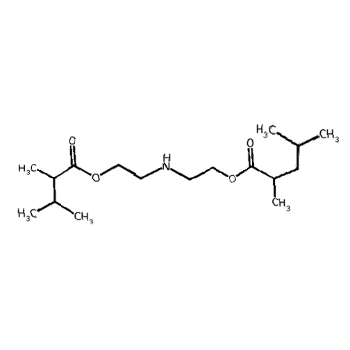 CC(C)CC(C)C(=O)OCCNCCOC(=O)C(C)C(C)C